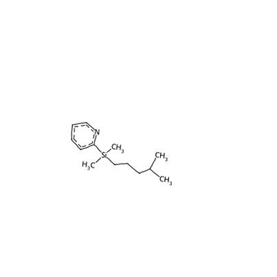 CC(C)CCC[Si](C)(C)c1ccccn1